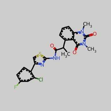 CC(C(=O)Nc1nc(-c2ccc(F)cc2Cl)cs1)c1cccc2c1c(=O)n(C)c(=O)n2C